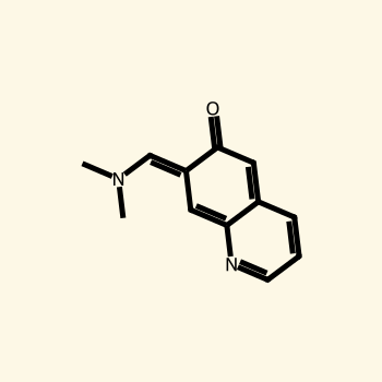 CN(C)/C=C1\C=c2ncccc2=CC1=O